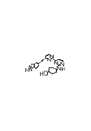 OC1CCC(Nc2nccc(-c3nccc(C#Cc4ccc5[nH]ncc5c4)n3)n2)CC1